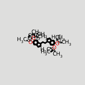 CC[Si](CC)(CC)Oc1cc2c(cc1O[Si](CC)(CC)CC)C(CCC1C=Cc3cc(O[Si](CC)(CC)CC)c(O[Si](CC)(CC)CC)cc31)C=C2